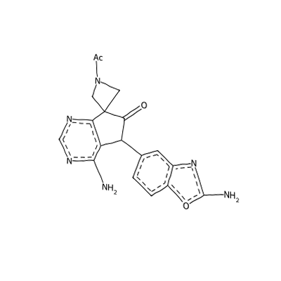 CC(=O)N1CC2(C1)C(=O)C(c1ccc3oc(N)nc3c1)c1c(N)ncnc12